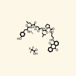 CCC[C@H](NC(=O)[C@@H](N)Cc1ccc(O)cc1)C(=O)NCC(=O)N[C@@H](CC(C)C)C(=O)N1CCC[C@H]1C(=O)NCCCNc1cccc2c1C(=O)c1ccccc1C2=O.O=C(O)C(F)(F)F